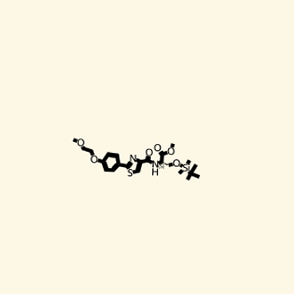 COCCOc1ccc(-c2nc(C(=O)N[C@@H](CO[Si](C)(C)C(C)(C)C)C(=O)OC)cs2)cc1